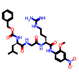 COc1cc([N+](=O)[O-])ccc1NC(=O)[C@H](CCCNC(=N)N)NC(=O)CNC(=O)[C@@H](CC(C)C)NC(=O)OCc1ccccc1